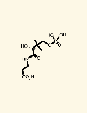 CC(C)(COP(=O)(O)O)[C@@H](O)C(=O)NCCC(=O)O